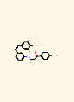 COc1ccc(/C=C\c2cc(C)c(OC)c(OC)c2)cc1N/C=C\C(=O)c1ccc(C(F)(F)F)cc1